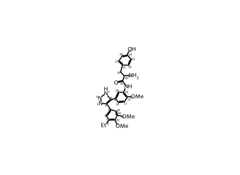 CCc1cc(-c2nn[nH]c2-c2ccc(OC)c(NC(=O)C(N)Cc3ccc(O)cc3)c2)cc(OC)c1OC